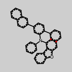 c1ccc(-c2ccc(-c3ccc4ccccc4c3)cc2N(c2ccccc2)c2cccc3oc4ccccc4c23)cc1